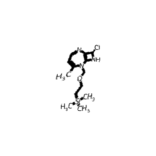 CC1=CC=NC2=C(N[C@@H]2Cl)N1COCC[Si](C)(C)C